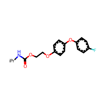 CC(C)NC(=O)OCCOc1ccc(Oc2ccc(F)cc2)cc1